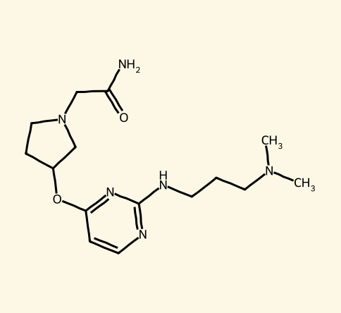 CN(C)CCCNc1nccc(OC2CCN(CC(N)=O)C2)n1